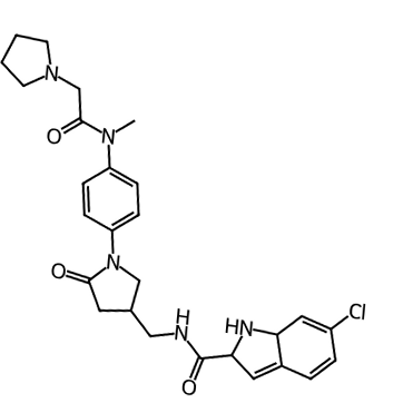 CN(C(=O)CN1CCCC1)c1ccc(N2CC(CNC(=O)C3C=C4C=CC(Cl)=CC4N3)CC2=O)cc1